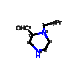 CC(C)CN1CCNCC1C=O